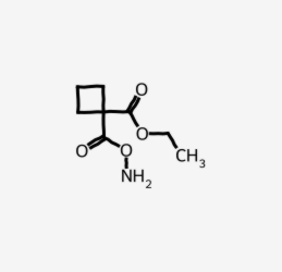 CCOC(=O)C1(C(=O)ON)CCC1